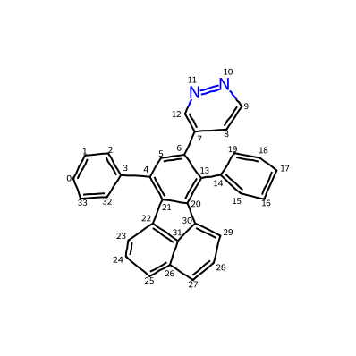 c1ccc(-c2cc(-c3ccnnc3)c(-c3ccccc3)c3c2-c2cccc4cccc-3c24)cc1